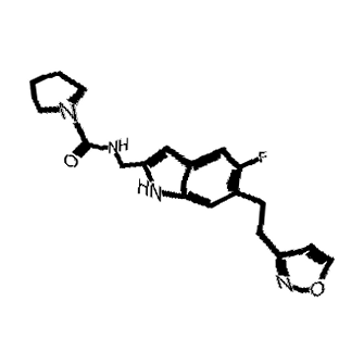 O=C(NCc1cc2cc(F)c(CCc3ccon3)cc2[nH]1)N1CCCC1